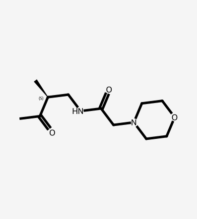 CC(=O)[C@@H](C)CNC(=O)CN1CCOCC1